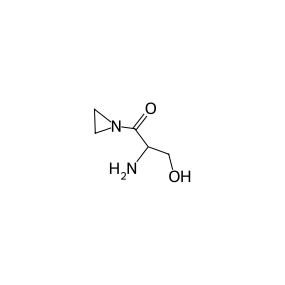 NC(CO)C(=O)N1CC1